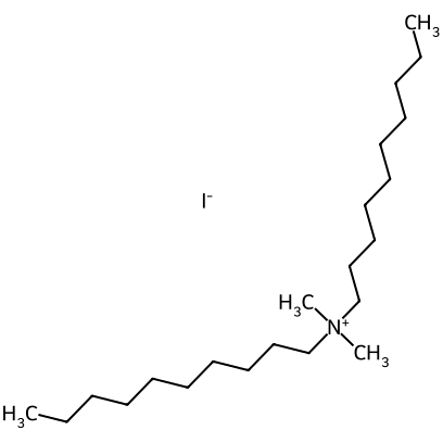 CCCCCCCCCC[N+](C)(C)CCCCCCCCCC.[I-]